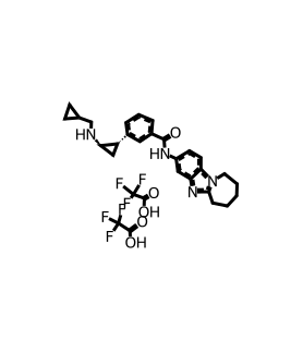 O=C(Nc1ccc2c(c1)nc1n2CCCCC1)c1cccc([C@@H]2C[C@H]2NCC2CC2)c1.O=C(O)C(F)(F)F.O=C(O)C(F)(F)F